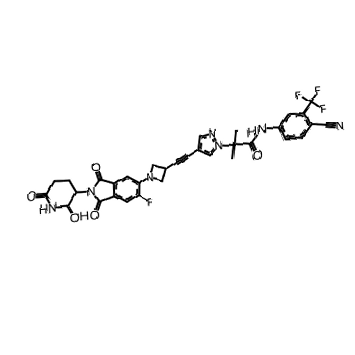 CC(C)(C(=O)Nc1ccc(C#N)c(C(F)(F)F)c1)n1cc(C#CC2CN(c3cc4c(cc3F)C(=O)N(C3CCC(=O)NC3O)C4=O)C2)cn1